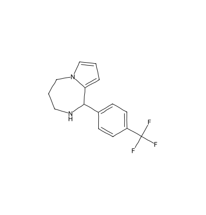 FC(F)(F)c1ccc(C2NCCCn3cccc32)cc1